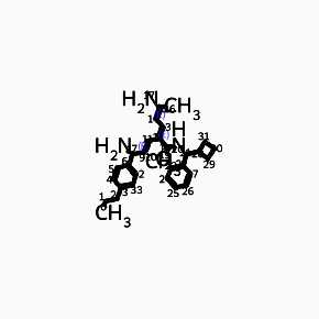 CCCc1ccc(C(N)/C(C)=C/C(=C\C=C(/C)N)C(=O)NC(c2ccccc2)C2CCC2)cc1